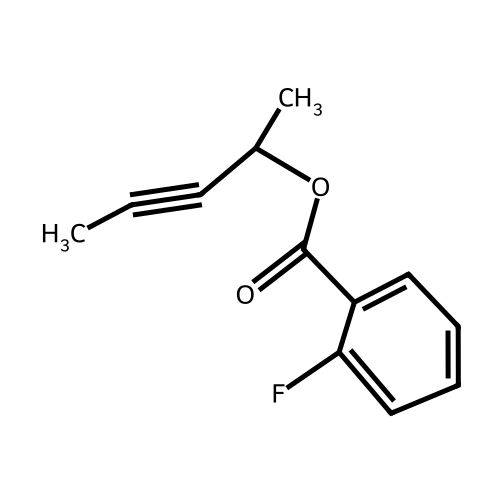 CC#CC(C)OC(=O)c1ccccc1F